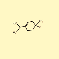 CC(C)C1=CCC(C)(F)CC1